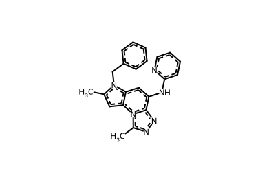 Cc1cc2c(cc(Nc3ccccn3)c3nnc(C)n32)n1Cc1ccccc1